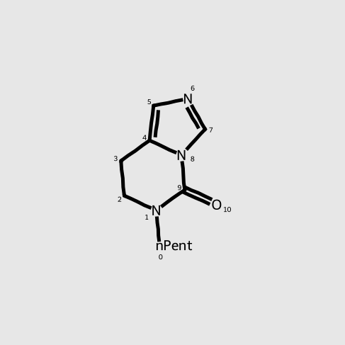 CCCCCN1CCc2cncn2C1=O